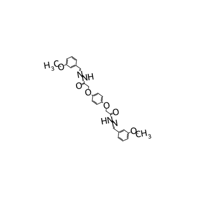 COc1cccc(/C=N/NC(=O)COc2ccc(OCC(=O)N/N=C/c3cccc(OC)c3)cc2)c1